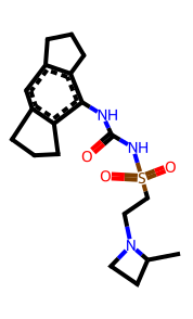 CC1CCN1CCS(=O)(=O)NC(=O)Nc1c2c(cc3c1CCC3)CCC2